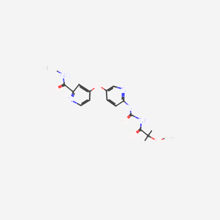 CNC(=O)c1cc(Oc2ccc(NC(=O)NC(=O)C(C)(C)OC)nc2)ccn1